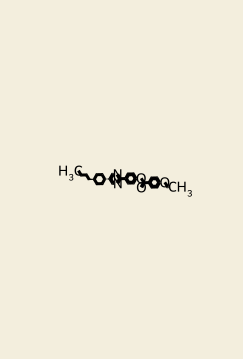 CCCC[C@H]1CC[C@H](c2cnc(-c3ccc(OC(=O)c4ccc(OCC)cc4)cc3)nc2)CC1